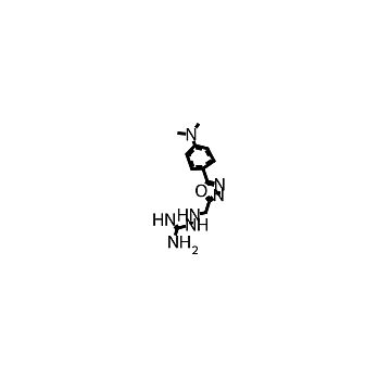 CN(C)c1ccc(-c2nnc(CNNC(=N)N)o2)cc1